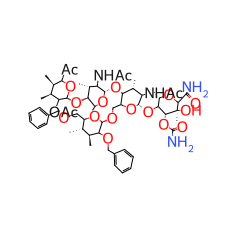 CC(=O)NC1[C@H](O[C@@H]2C(CO[C@@H]3OC(COCc4ccccc4)[C@@H](C)[C@H](C)C3OCc3ccccc3)O[C@@H](OC3[C@H](C)OC(C(N)=O)[C@@](C)(O)[C@@H]3OC(N)=O)C(NC(C)=O)[C@H]2C)OC(C)[C@@H](O[C@@H]2OC(C(C)=O)[C@H](C)[C@H](C)C2OC(C)=O)[C@@H]1C